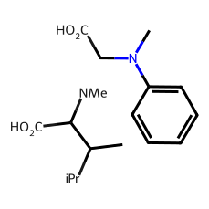 CN(CC(=O)O)c1ccccc1.CNC(C(=O)O)C(C)C(C)C